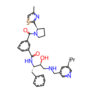 Cc1csc([C@H]2CCCN2C(=O)c2cccc(C(=O)N[C@@H](Cc3ccccc3)[C@@H](O)CNCc3cncc(C(C)C)c3)c2)n1